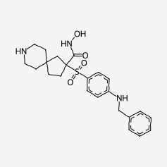 O=C(NO)C1(S(=O)(=O)c2ccc(NCc3ccccc3)cc2)CCC2(CCNCC2)C1